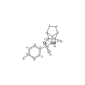 C=C1C2CCC(C2NS(=O)(=O)c2ccc(C)cc2)C1(C)C